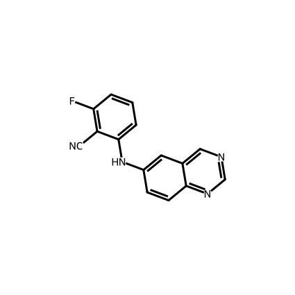 N#Cc1c(F)cccc1Nc1ccc2ncncc2c1